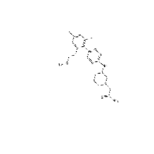 CCOCOc1cc(C)cc(C)c1-c1cnc(NC2CCCN(CC(N)=O)C2)nn1